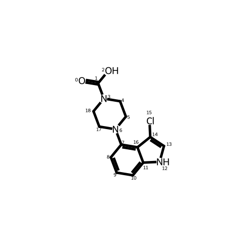 O=C(O)N1CCN(c2cccc3[nH]cc(Cl)c23)CC1